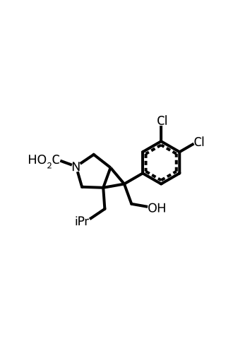 CC(C)CC12CN(C(=O)O)CC1C2(CO)c1ccc(Cl)c(Cl)c1